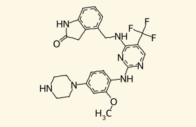 COc1cc(N2CCNCC2)ccc1Nc1ncc(C(F)(F)F)c(NCc2cccc3c2CC(=O)N3)n1